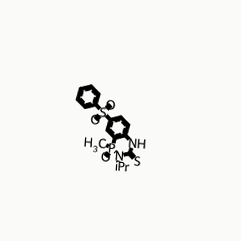 CC(C)N1C(=S)Nc2ccc(S(=O)(=O)c3ccccc3)cc2P1(C)=O